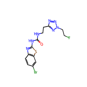 O=C(NCCc1nnn(CCF)n1)Nc1nc2ccc(Br)cc2s1